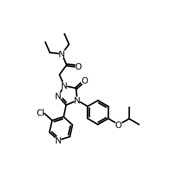 CCN(CC)C(=O)Cn1nc(-c2ccncc2Cl)n(-c2ccc(OC(C)C)cc2)c1=O